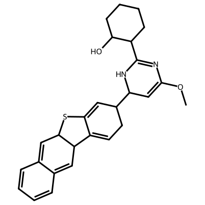 COC1=CC(C2C=C3SC4C=c5ccccc5=CC4C3=CC2)NC(C2CCCCC2O)=N1